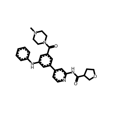 CN1CCN(C(=O)c2cc(Nc3ccccc3)cc(-c3ccnc(NC(=O)C4CCOC4)c3)c2)CC1